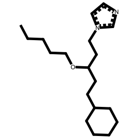 CCCCCOC(CCC1CCCCC1)CCn1ccnc1